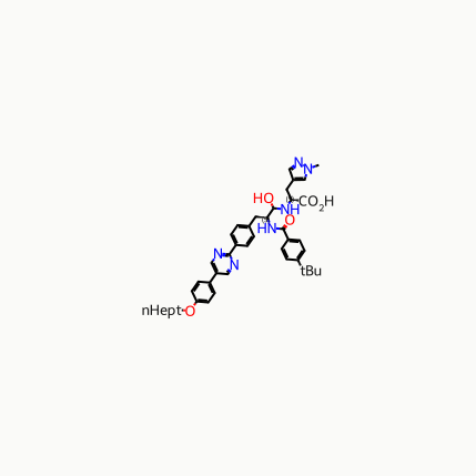 CCCCCCCOc1ccc(-c2cnc(-c3ccc(C[C@H](NC(=O)c4ccc(C(C)(C)C)cc4)C(O)N[C@@H](Cc4cnn(C)c4)C(=O)O)cc3)nc2)cc1